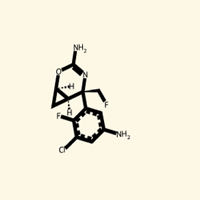 NC1=N[C@](CF)(c2cc(N)cc(Cl)c2F)[C@H]2C[C@H]2O1